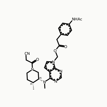 CC(=O)Nc1ccc(CC(=O)OCn2ccc3c(N(C)[C@H]4CN(C(=O)CC#N)CC[C@H]4C)ncnc32)cc1